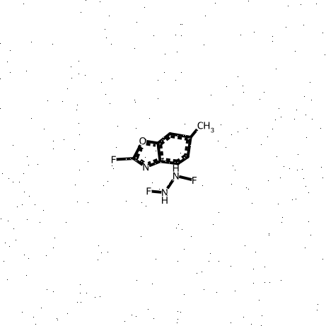 Cc1ccc2nc(F)oc2c1.FNNF